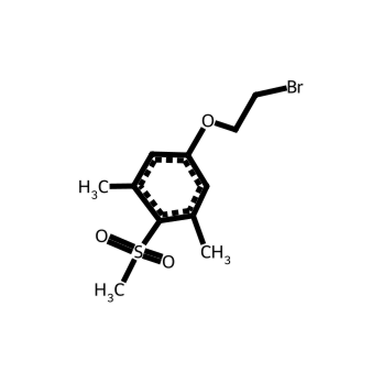 Cc1cc(OCCBr)cc(C)c1S(C)(=O)=O